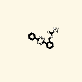 CC(C)(C)NC(=O)OCc1ccccc1-c1nnc(-c2ccccc2)nn1